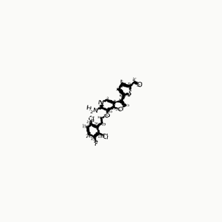 Nc1ncc2c(-c3ccc(C=O)s3)coc2c1OCCc1c(Cl)ccc(F)c1Cl